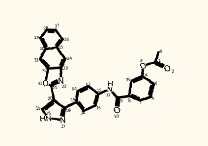 CC(=O)Oc1cccc(C(=O)Nc2ccc(-c3n[nH]cc3-c3nc4cc5ccccc5cc4o3)cc2)c1